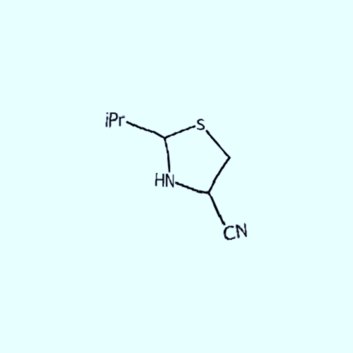 CC(C)C1NC(C#N)CS1